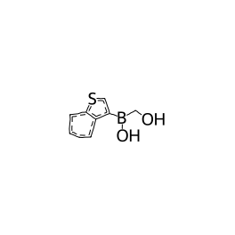 OCB(O)c1csc2ccccc12